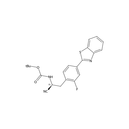 CC(C)(C)OC(=O)N[C@H](C#N)Cc1ccc(-c2nc3ccccc3s2)cc1F